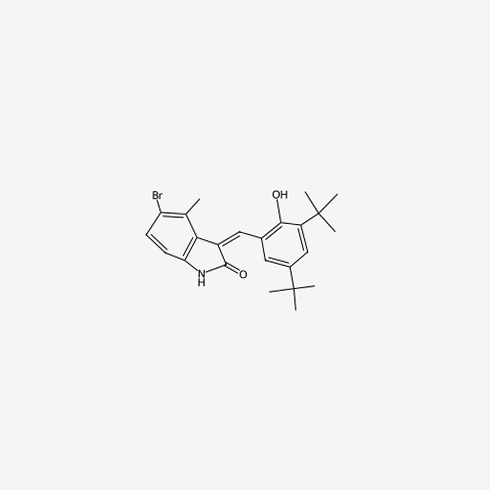 Cc1c(Br)ccc2c1C(=Cc1cc(C(C)(C)C)cc(C(C)(C)C)c1O)C(=O)N2